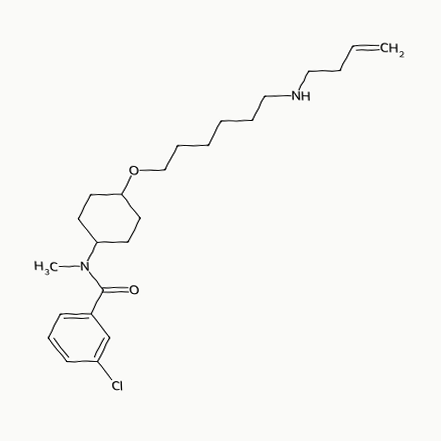 C=CCCNCCCCCCOC1CCC(N(C)C(=O)c2cccc(Cl)c2)CC1